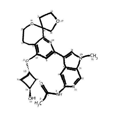 CC(=O)Nc1cc2c(-c3cc(O[C@H]4C[C@H](O)C4)c4c(n3)C3(CCOC3)OCC4)cn(C)c2cn1